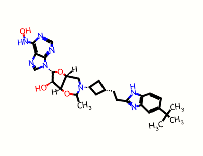 CC1O[C@H]2[C@@H](O)[C@H](n3cnc4c(NO)ncnc43)O[C@@H]2CN1[C@H]1C[C@@H](CCc2nc3cc(C(C)(C)C)ccc3[nH]2)C1